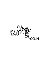 COc1ccc(CC[C@@H](OC(=O)C2CCCCN2S(=O)(=O)c2cccc([N+](=O)[O-])c2)c2cccc(OCC(=O)O)c2)cc1OC